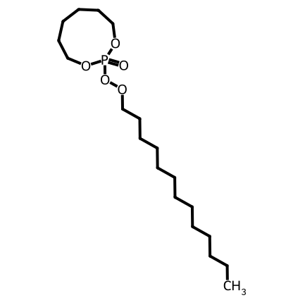 CCCCCCCCCCCCCOOP1(=O)OCCCCCCO1